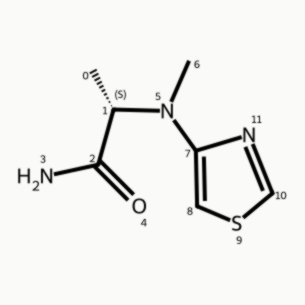 C[C@@H](C(N)=O)N(C)c1cscn1